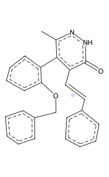 Cc1n[nH]c(=O)c(/C=C/c2ccccc2)c1-c1ccccc1OCc1ccccc1